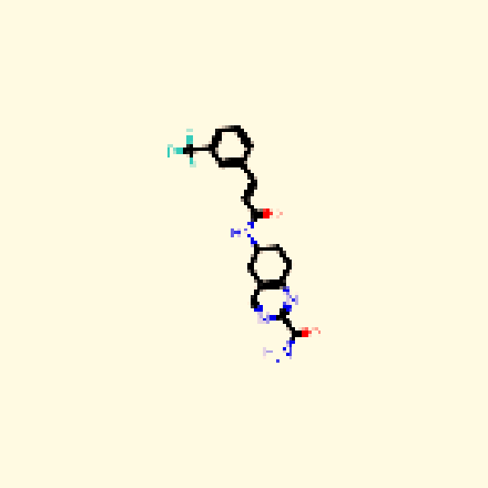 NC(=O)c1ncc2c(n1)CCC(NC(=O)C=Cc1cccc(C(F)(F)F)c1)C2